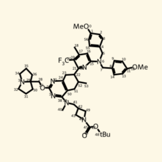 COc1ccc(CN(Cc2ccc(OC)cc2)c2cc(C)c(C(F)(F)F)c(C3Cc4nc(OCC56CCCN5CCC6)nc(N(C)CC5CN(C(=O)OC(C)(C)C)C5)c4CC3C)n2)cc1